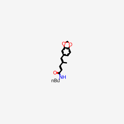 CCCCNC(=O)/C=C/C(C)=C/c1ccc2c(c1)OCO2